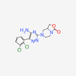 Nc1nc(N2CCN3C(=O)OCC3C2)nnc1-c1cccc(Cl)c1Cl